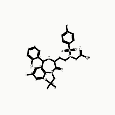 Cc1ccc(S(=O)(=O)N(CCC2OC(c3ccccc3Cl)c3cc(Cl)ccc3N(CC(C)(C)C)C2=O)CC(=O)O)cc1